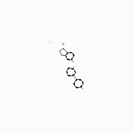 O=C(O)C[C@@H]1CCc2cc(Oc3cccc(-c4ccc(F)cc4)c3)ccc21